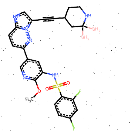 BC1(B)CC(C#Cc2cnc3ccc(-c4cnc(OC)c(NS(=O)(=O)c5ccc(F)cc5F)c4)nn23)CCN1